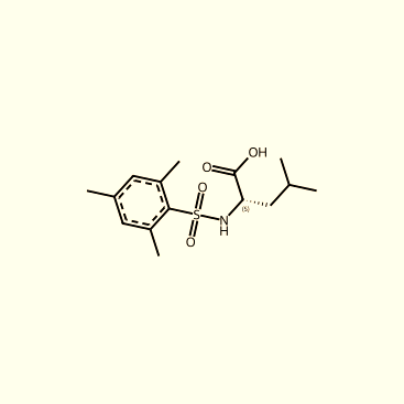 Cc1cc(C)c(S(=O)(=O)N[C@@H](CC(C)C)C(=O)O)c(C)c1